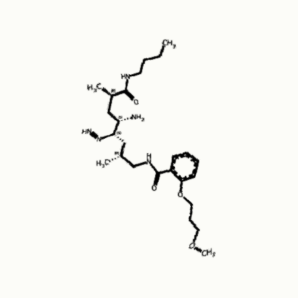 CCCCNC(=O)[C@H](C)C[C@H](N)[C@H](C[C@@H](C)CNC(=O)c1ccccc1OCCCOC)N=N